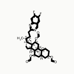 C[C@H](CCc1ncc2cc(F)c(F)cc2n1)[C@H]1CC[C@H]2[C@@H]3[C@H](OC=O)C[C@@H]4C[C@H](OC=O)CC[C@]4(C)[C@H]3C[C@H](OC=O)[C@]12C